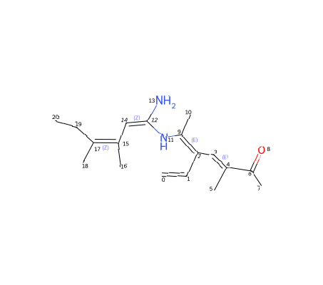 C=CC(/C=C(\C)C(C)=O)=C(/C)N/C(N)=C\C(C)=C(\C)CC